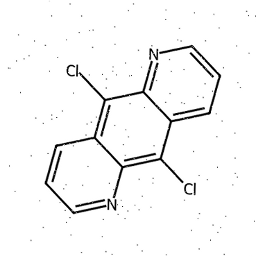 Clc1c2cccnc2c(Cl)c2cccnc12